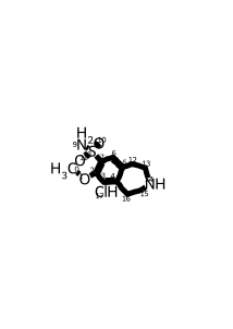 COc1cc2c(cc1S(N)(=O)=O)CCNCC2.Cl